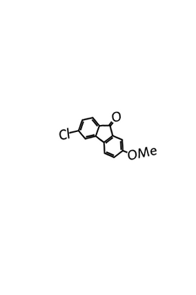 COc1ccc2c(c1)C(=O)c1ccc(Cl)cc1-2